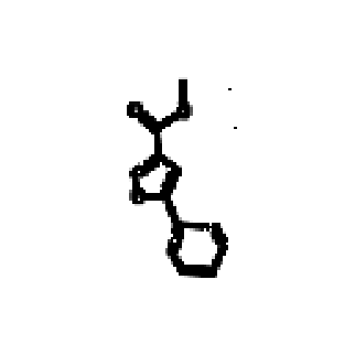 COC(=O)c1coc(-c2ccccc2)c1